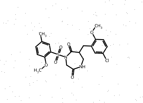 COc1ccc(Cl)cc1CC1CNC(=O)CN(S(=O)(=O)c2cc(C)ccc2OC)C1=O